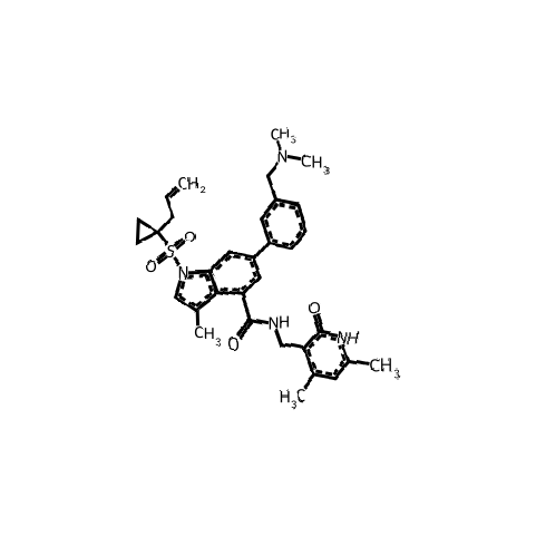 C=CCC1(S(=O)(=O)n2cc(C)c3c(C(=O)NCc4c(C)cc(C)[nH]c4=O)cc(-c4cccc(CN(C)C)c4)cc32)CC1